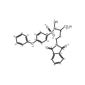 CCCN(C(CCN1C(=O)c2ccccc2C1=O)C(=O)O)S(=O)(=O)c1ccc(Oc2ccccc2)cc1